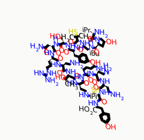 CC[C@H](C)[C@H](NC(=O)[C@@H]1C[C@@H](O)CN1C(=O)[C@@H](N)C(C)C)C(=O)N[C@H](C(=O)N[C@@H](Cc1ccc(O)cc1)C(=O)N[C@@H](CO)C(=O)N[C@@H](CC(N)=O)C(=O)N[C@@H](CCCNC(=N)N)C(=O)N[C@@H](CCN)C(=O)N[C@H](C(=O)N[C@H](CCNC(C)C)C(=O)N[C@@H](CCCCN)C(=O)N[C@@H](CCN)C(=O)N[C@@H](CCN)C(=O)N[C@@H](CS)C(=O)N[C@@H](Cc1ccc(O)cc1)C(=O)O)[C@@H](C)O)C(C)(C)S